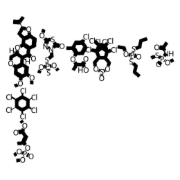 C=C(C)[C@H]1Cc2c(ccc3c2O[C@@H]2COc4cc(OC)c(OC)cc4[C@@H]2C3=O)O1.CCCSP(=O)(OCC)SCCC.COC(=O)/C=C(\C)OP(=O)(OC)OC.COP(=O)(NC(C)=O)SC.COc1nn(CSP(=S)(OC)OC)c(=O)s1.Cc1cc(Cl)ccc1OC(C)C(=O)O.Cl[C@H]1[C@H](Cl)[C@@H](Cl)[C@@H](Cl)[C@H](Cl)[C@H]1Cl.O=S1OCC2C(CO1)C1(Cl)C(Cl)=C(Cl)C2(Cl)C1(Cl)Cl